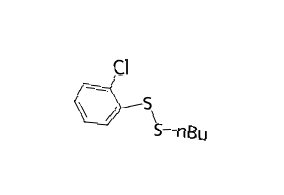 CCCCSSc1ccccc1Cl